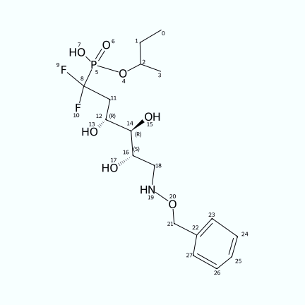 CCC(C)OP(=O)(O)C(F)(F)C[C@@H](O)[C@@H](O)[C@@H](O)CNOCc1ccccc1